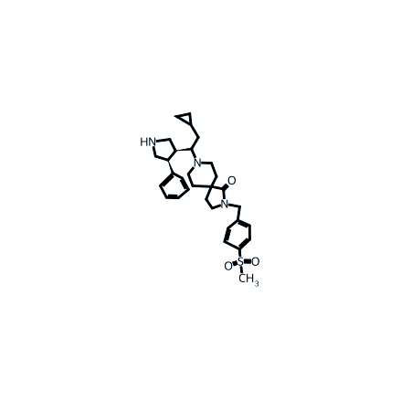 CS(=O)(=O)c1ccc(CN2CCC3(CCN(C(CC4CC4)[C@@H]4CNC[C@@H]4c4ccccc4)CC3)C2=O)cc1